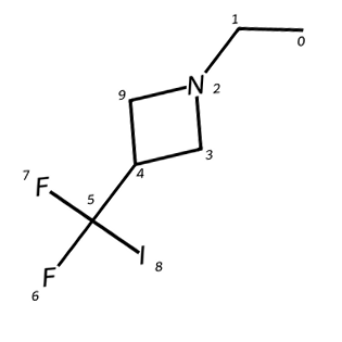 CCN1CC(C(F)(F)I)C1